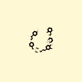 Cc1cc(C=CC(=O)N2CCN(Cc3ccc(OCC(=O)c4ccc(F)cc4)cc3)CC2)cc(Cl)c1Oc1ccc(OCc2ccccc2Cl)cn1